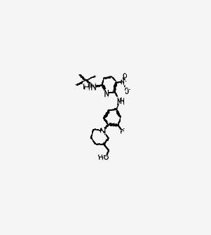 CC(C)(C)Nc1ccc([N+](=O)[O-])c(Nc2ccc(N3CCCC(CO)C3)c(F)c2)n1